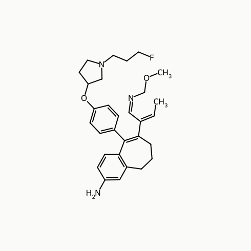 C/C=C(\C=N/COC)C1=C(c2ccc(OC3CCN(CCCF)C3)cc2)c2ccc(N)cc2CCC1